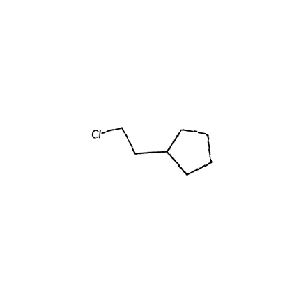 ClCCC1CCCC1